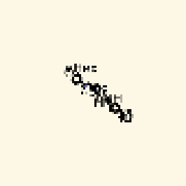 CCCCCCOc1ccc(/C(C#N)=C/c2cc3sc(NNc4ccc(N5C(C)(C)CCCC5(C)C)cc4)nc3s2)cc1